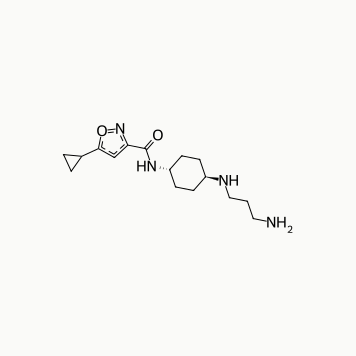 NCCCN[C@H]1CC[C@H](NC(=O)c2cc(C3CC3)on2)CC1